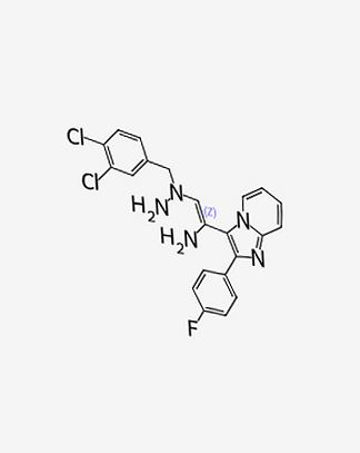 N/C(=C\N(N)Cc1ccc(Cl)c(Cl)c1)c1c(-c2ccc(F)cc2)nc2ccccn12